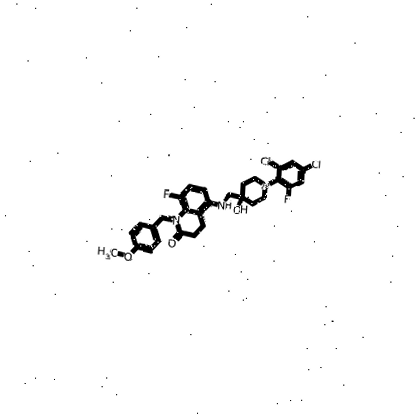 COc1ccc(CN2C(=O)CCc3c(NCC4(O)CCN(c5c(F)cc(Cl)cc5Cl)CC4)ccc(F)c32)cc1